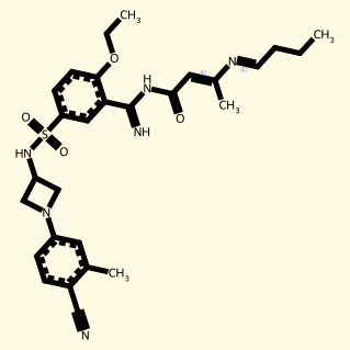 CCC/C=N/C(C)=C/C(=O)NC(=N)c1cc(S(=O)(=O)NC2CN(c3ccc(C#N)c(C)c3)C2)ccc1OCC